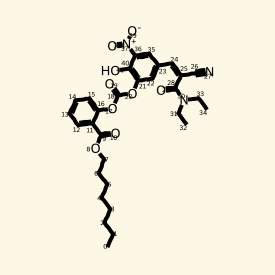 CCCCCCCCOC(=O)c1ccccc1OC(=O)Oc1cc(C=C(C#N)C(=O)N(CC)CC)cc([N+](=O)[O-])c1O